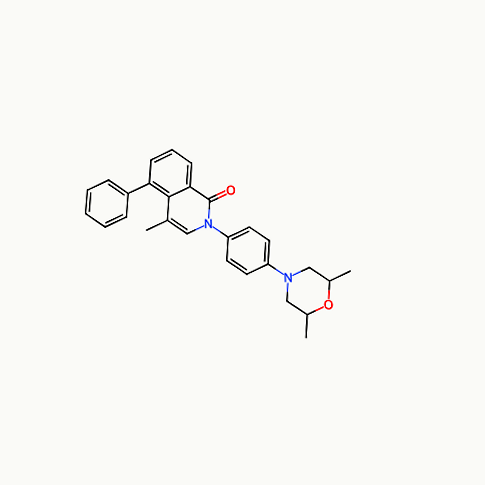 Cc1cn(-c2ccc(N3CC(C)OC(C)C3)cc2)c(=O)c2cccc(-c3ccccc3)c12